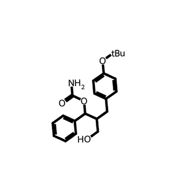 CC(C)(C)Oc1ccc(CC(CO)C(OC(N)=O)c2ccccc2)cc1